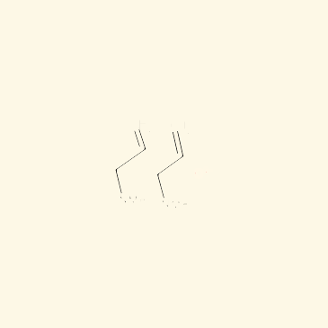 C=CC[NH2+]C.C=CC[NH2+]C.[O-2]